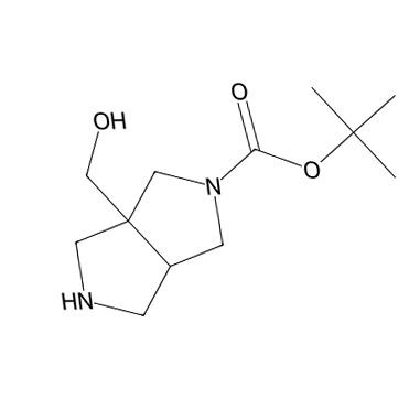 CC(C)(C)OC(=O)N1CC2CNCC2(CO)C1